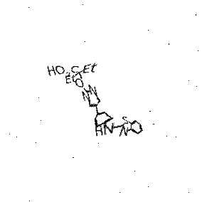 CCC(CC)(COc1ncc(-c2ccc(Nc3nc4ccccc4s3)cc2)cn1)C(=O)O